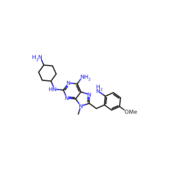 COc1ccc(N)c(Cc2nc3c(N)nc(NC4CCC(N)CC4)nc3n2C)c1